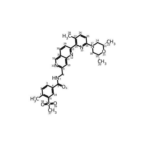 Cc1ccc(C(=O)NCc2cc3nc(-c4nc(N5C[C@@H](C)O[C@@H](C)C5)ccc4C)ccc3cn2)cc1S(C)(=O)=O